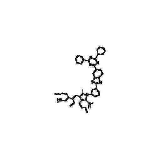 C=C\C=C/C(=C\BC)C(/C=C)=C/c1c(/C=C\C=C)c(BC)n(-c2cccc(-c3nc4ccc(-c5nc(-c6ccccc6)nc(-c6ccccc6)n5)cc4s3)c2)c1C